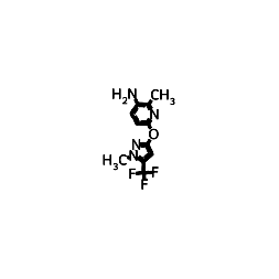 Cc1nc(Oc2cc(C(F)(F)F)n(C)n2)ccc1N